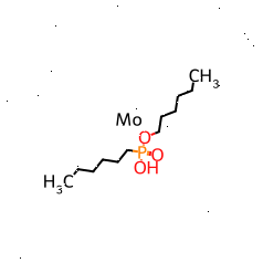 CCCCCCOP(=O)(O)CCCCCC.[Mo]